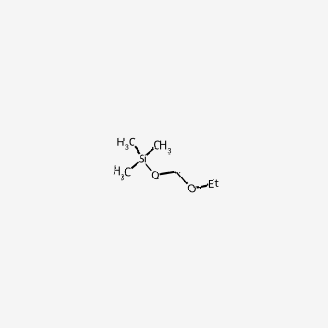 CCO[CH]O[Si](C)(C)C